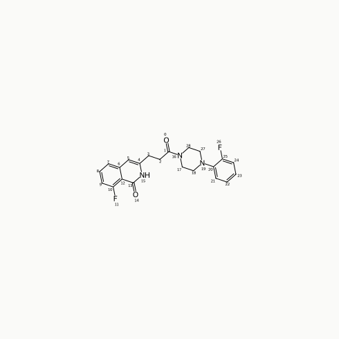 O=C(CCc1cc2cccc(F)c2c(=O)[nH]1)N1CCN(c2ccccc2F)CC1